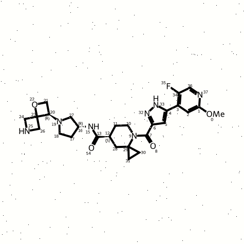 COc1cc(-c2cc(C(=O)N3CC[C@H](C(=O)N[C@@H]4CCN([C@@H]5COC56CNC6)C4)CC34CC4)n[nH]2)c(F)cn1